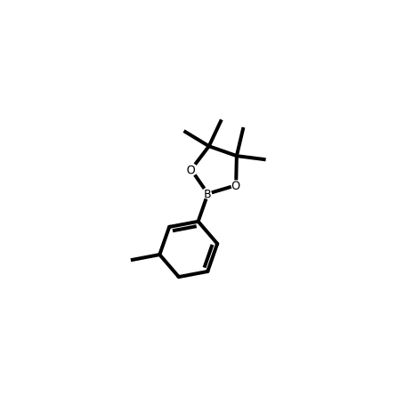 CC1C=C(B2OC(C)(C)C(C)(C)O2)C=CC1